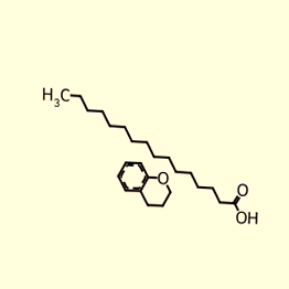 CCCCCCCCCCCCCCCC(=O)O.c1ccc2c(c1)CCCO2